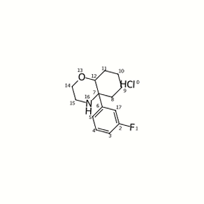 Cl.Fc1cccc(C23CCCCC2OCCN3)c1